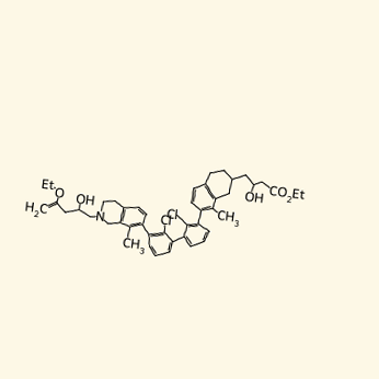 C=C(CC(O)CN1CCc2ccc(-c3cccc(-c4cccc(-c5ccc6c(c5C)CC(CC(O)CC(=O)OCC)CC6)c4Cl)c3Cl)c(C)c2C1)OCC